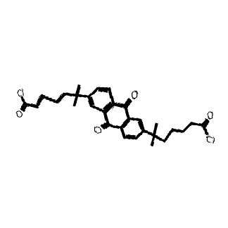 CC(C)(CCCCC(=O)Cl)c1ccc2c(c1)C(=O)c1ccc(C(C)(C)CCCCC(=O)Cl)cc1C2=O